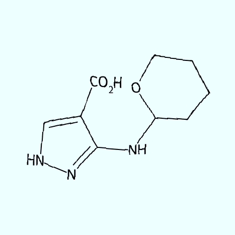 O=C(O)c1c[nH]nc1NC1CCCCO1